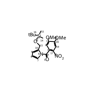 COc1cc(C(=O)n2cccc2CO[Si](C)(C)C(C)(C)C)c([N+](=O)[O-])cc1OC